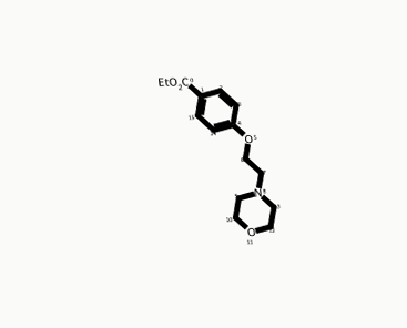 CCOC(=O)c1ccc(OCCN2CCOCC2)cc1